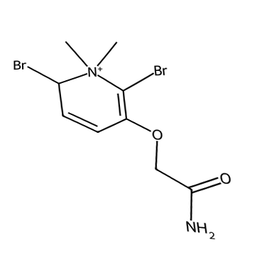 C[N+]1(C)C(Br)=C(OCC(N)=O)C=CC1Br